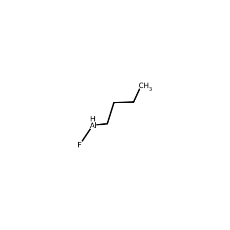 CCC[CH2][AlH][F]